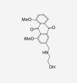 COc1cccc2c1C(=O)c1c(OC)cc(CNCCO)cc1C2=O